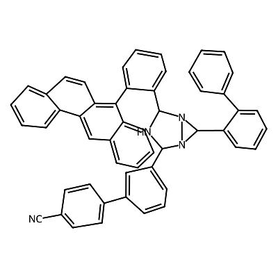 N#Cc1ccc(-c2cccc(C3NC(c4ccccc4-c4c5ccccc5cc5c4ccc4ccccc45)N4C(c5ccccc5-c5ccccc5)N34)c2)cc1